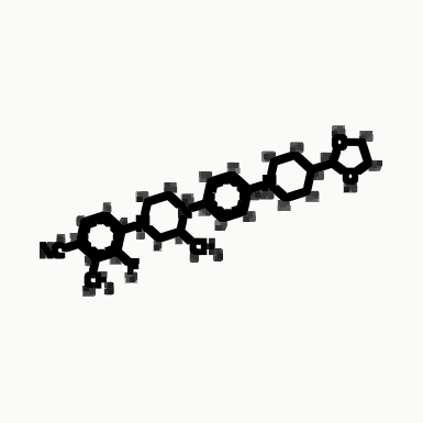 CC1CN(c2ccc(C#N)c(C(F)(F)F)c2F)CCN1c1ccc(N2CCC(C3OCCO3)CC2)cc1